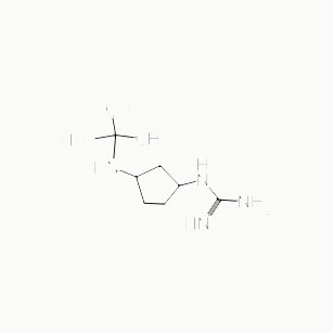 CC(C)(C)NC1CCC(NC(=N)N)C1